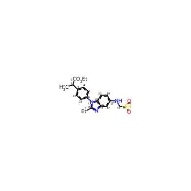 CCOC(=O)C(C)c1ccc(-n2c(CC)nc3cc(NC[SH](=O)=O)ccc32)cc1